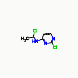 CC(Cl)Nc1ccnc(Cl)n1